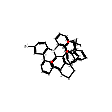 CC(C)(C)c1ccc(N(c2ccccc2-c2cccc3cccc(C4CCCCC4)c23)c2cccc3c2-c2ccccc2C3(C)C)c(-c2ccccc2)c1